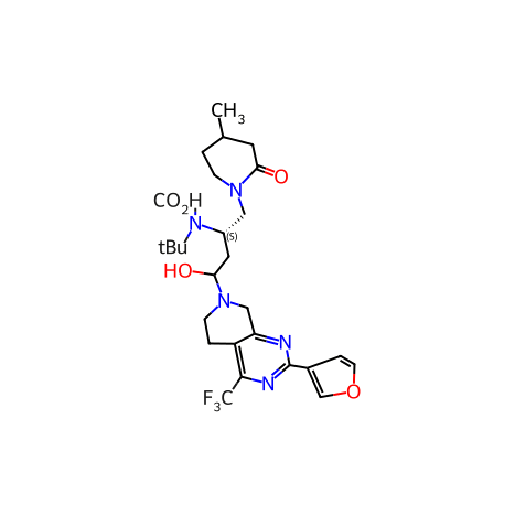 CC1CCN(C[C@H](CC(O)N2CCc3c(nc(-c4ccoc4)nc3C(F)(F)F)C2)N(C(=O)O)C(C)(C)C)C(=O)C1